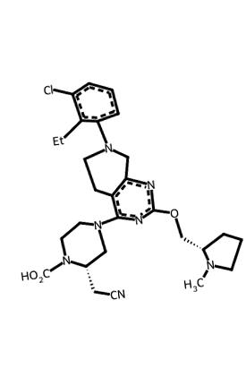 CCc1c(Cl)cccc1N1CCc2c(nc(OC[C@@H]3CCCN3C)nc2N2CCN(C(=O)O)[C@@H](CC#N)C2)C1